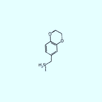 C[SiH2]Cc1ccc2c(c1)OCCO2